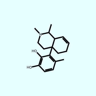 Cc1ccc(O)c(O)c1C12CCC=CC1C(C)N(C)CC2